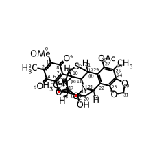 COC1=C(C)C(=O)C2=C(C1=O)[C@@H]1C3[C@@H]4SCC(=O)C(=O)OC[C@@H](c5c6c(c(C)c(OC(C)=O)c54)OCO6)N3[C@@H](O)[C@H](C2)N1C